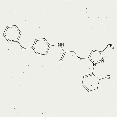 O=C(COc1cc(C(F)(F)F)nn1C1=CC=CCC1Cl)Nc1ccc(Oc2ccccc2)cc1